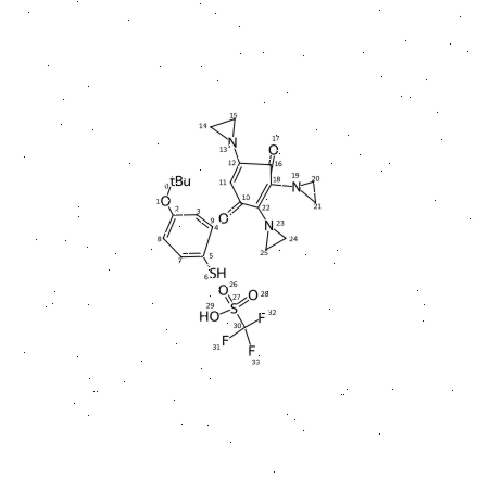 CC(C)(C)Oc1ccc(S)cc1.O=C1C=C(N2CC2)C(=O)C(N2CC2)=C1N1CC1.O=S(=O)(O)C(F)(F)F